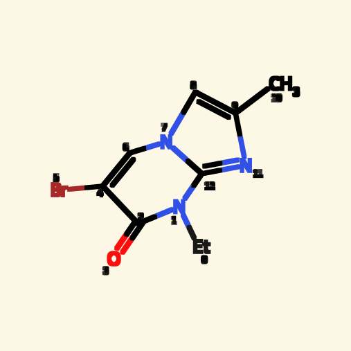 CCn1c(=O)c(Br)cn2cc(C)nc12